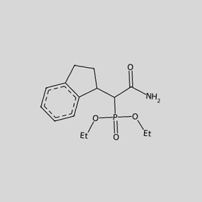 CCOP(=O)(OCC)C(C(N)=O)C1CCc2ccccc21